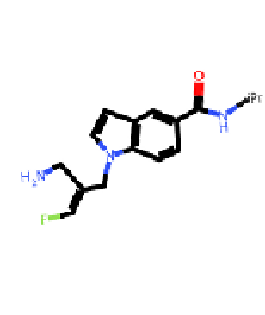 CC(C)NC(=O)c1ccc2c(ccn2C/C(=C/F)CN)c1